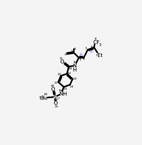 C=C(C)/C(=C\C=C(/CC)C(F)(F)F)NC(=O)C1=CCC(NS(=O)(=O)C(C)(C)C)C=C1